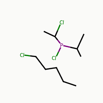 CC(C)P(Cl)C(C)Cl.CCCCCCl